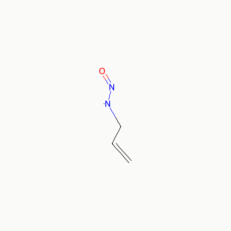 C=CC[N]N=O